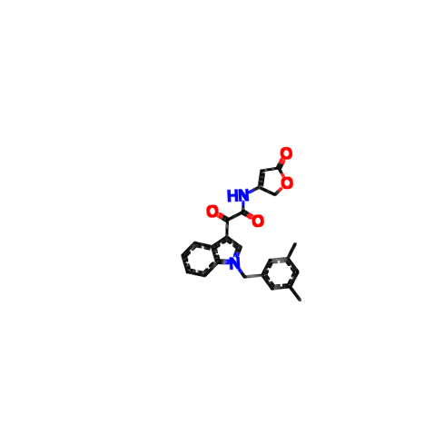 Cc1cc(C)cc(Cn2cc(C(=O)C(=O)NC3=CC(=O)OC3)c3ccccc32)c1